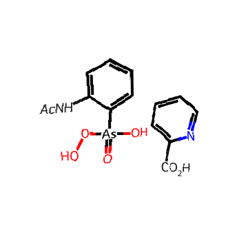 CC(=O)Nc1ccccc1[As](=O)(O)OO.O=C(O)c1ccccn1